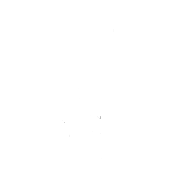 CCCCCCOC(=O)c1cc(N)c(C(C)(C)CCC)c(N)c1